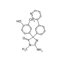 Cc1cc(C2(c3cccc(-c4cccnc4)c3)N=C(N)N(C)C2=O)ccc1O